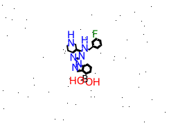 OB(O)c1cccc2c1cnn2-c1nc2c(c(NCc3cccc(F)c3)n1)CNCC2